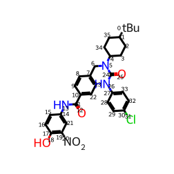 CC(C)(C)C1CCC(N(Cc2ccc(C(=O)Nc3ccc(O)c([N+](=O)[O-])c3)cc2)C(=O)Nc2ccc(Cl)cc2)CC1